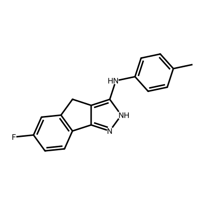 Cc1ccc(Nc2[nH]nc3c2Cc2cc(F)ccc2-3)cc1